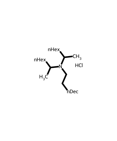 CCCCCCCCCCCCN(C(C)CCCCCC)C(C)CCCCCC.Cl